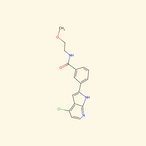 COCCNC(=O)c1cccc(-c2cc3c(Cl)ccnc3[nH]2)c1